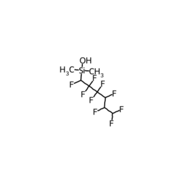 C[Si](C)(O)C(F)C(F)(F)C(F)(F)C(F)C(F)C(F)F